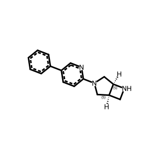 c1ccc(-c2ccc(N3C[C@@H]4CN[C@@H]4C3)nc2)cc1